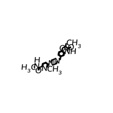 CCC1Oc2ccc(CN3CCN(c4ccc(C(=O)NC)nc4C)CC3)cc2NC1=O